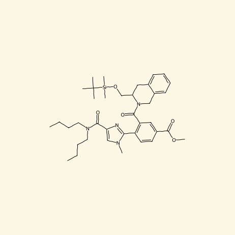 CCCCN(CCCC)C(=O)c1cn(C)c(-c2ccc(C(=O)OC)cc2C(=O)N2Cc3ccccc3CC2CO[Si](C)(C)C(C)(C)C)n1